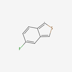 Fc1ccc2[c]scc2c1